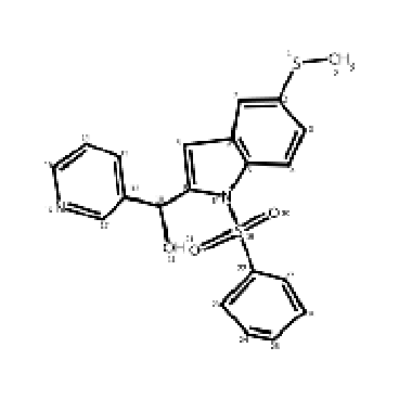 CSc1ccc2c(c1)cc(C(O)c1cccnc1)n2S(=O)(=O)c1ccccc1